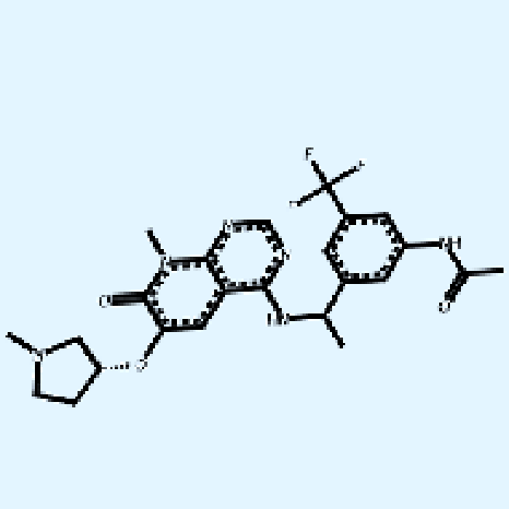 CC(=O)Nc1cc(C(C)Nc2ncnc3c2cc(O[C@@H]2CCN(C)C2)c(=O)n3C)cc(C(F)(F)F)c1